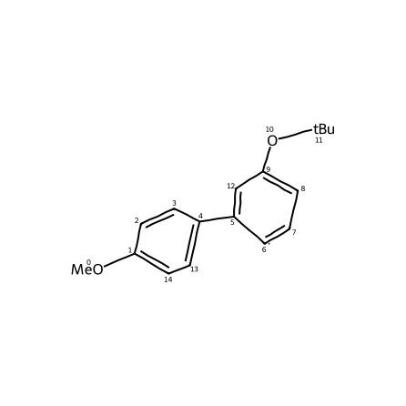 COc1ccc(-c2[c]ccc(OC(C)(C)C)c2)cc1